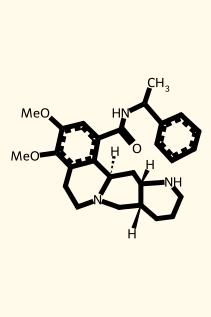 COc1cc(C(=O)NC(C)c2ccccc2)c2c(c1OC)CCN1C[C@H]3CCCN[C@H]3C[C@H]21